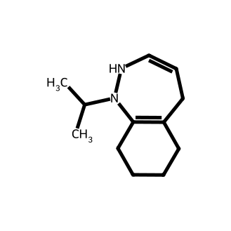 CC(C)N1NC=CCC2=C1CCCC2